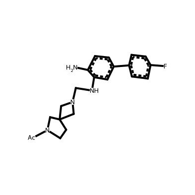 CC(=O)N1CCC2(CN(CNc3cc(-c4ccc(F)cc4)ccc3N)C2)C1